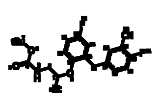 CCC(CNC(=O)OC(C)(C)C)Oc1ccc(F)cc1Cc1ccc(F)c(C#N)c1